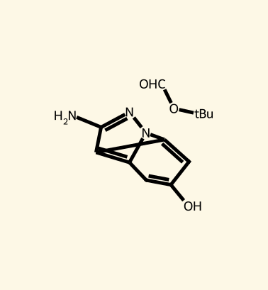 CC(C)(C)OC=O.Nc1nn2c3cc(O)cc2c13